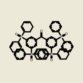 O=C(c1cc(P(=O)(C2=CCCC=C2)C2=CC=CCC2)cc(P(=O)(c2ccccc2)c2ccccc2)c1)c1cc(P(=O)(C2=CCCC=C2)C2=CC=CCC2)cc(P(=O)(c2ccccc2)c2ccccc2)c1